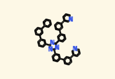 c1ccc(-c2cccc(-c3cccc(-c4nc(-c5cccc(-c6cccc(-c7cccnc7)c6)c5)nc(-c5cccc(-c6cccc(-c7cccnc7)c6)c5)n4)c3)c2)cc1